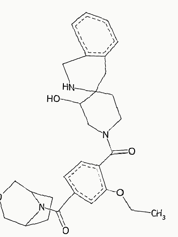 CCOc1cc(C(=O)N2C3CCC2COC3)ccc1C(=O)N1CCC2(Cc3ccccc3CN2)C(O)C1